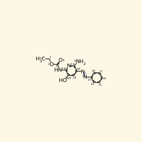 CCOC(=O)Nc1nc(N)c(/N=N/c2ccccc2)cc1O